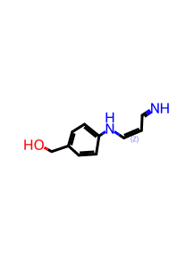 N=C/C=C\Nc1ccc(CO)cc1